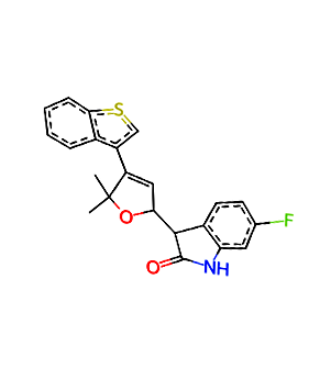 CC1(C)OC(C2C(=O)Nc3cc(F)ccc32)C=C1c1csc2ccccc12